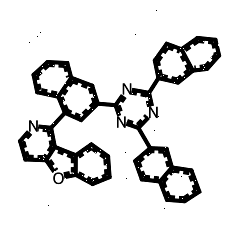 c1ccc2cc(-c3nc(-c4ccc5ccccc5c4)nc(-c4cc(-c5nccc6oc7ccccc7c56)c5ccccc5c4)n3)ccc2c1